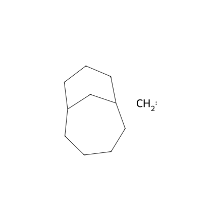 C1CCC2CCCC(C1)C2.[CH2]